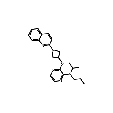 CCCN(c1nccnc1OC1CN(c2ccc3ccccc3n2)C1)C(C)C